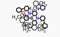 CC1(C)CCC(C)(C)c2cc3c(cc21)B1c2cc4c(cc2N(c2cccc5c2sc2ccccc25)c2cc(N5c6ccccc6C6(C)CCCCC56C)cc(c21)N3c1cccc2c1oc1ccccc12)C(C)(C)CCC4(C)C